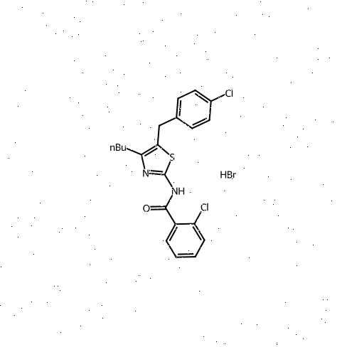 Br.CCCCc1nc(NC(=O)c2ccccc2Cl)sc1Cc1ccc(Cl)cc1